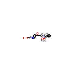 COc1ccccc1CCN(CCCCC(=O)c1ccc2c(c1)CCN2CCCO)C(=O)OC(C)(C)C